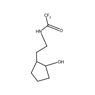 O=C(NCCC1CCCC1O)C(F)(F)F